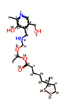 Cc1ncc(CO)c(CNCOC(C)OC(=O)CCCC[C@]2(C)CCSS2)c1O